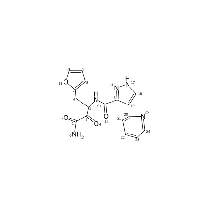 NC(=O)C(=O)C(Cc1ccco1)NC(=O)c1n[nH]cc1-c1ccccn1